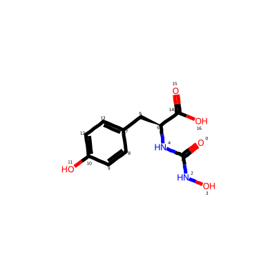 O=C(NO)N[C@@H](Cc1ccc(O)cc1)C(=O)O